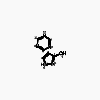 Oc1cc[nH]n1.c1ncncn1